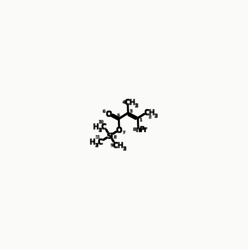 CCCC(C)=C(C)C(=O)O[Si](C)(C)C